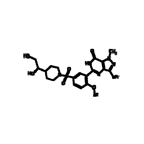 CCCc1nn(C)c2c(=O)[nH]c(-c3cc(S(=O)(=O)N4CCC([C@@H](O)CO)CC4)ccc3OCC)nc12